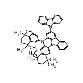 CC1(C)CCC(C)(C)c2cc(N3c4cc5c(cc4B4c6ccccc6-c6cc(-n7c8ccccc8c8ccccc87)cc3c64)C(C)(C)CCC5(C)C)ccc21